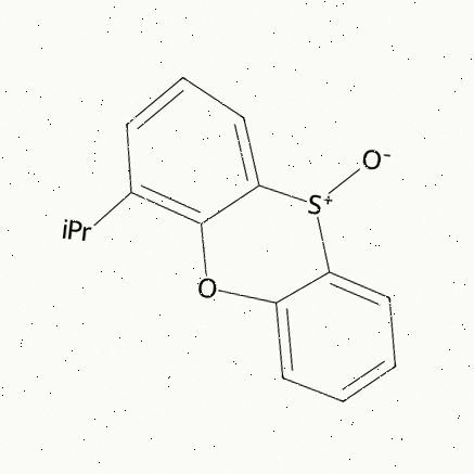 CC(C)c1cccc2c1Oc1ccccc1[S+]2[O-]